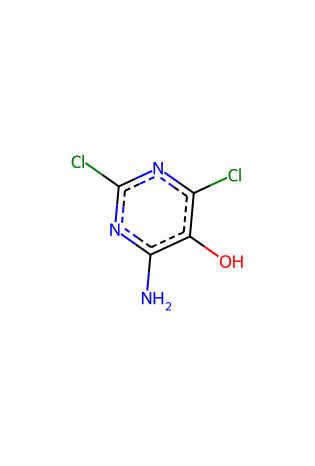 Nc1nc(Cl)nc(Cl)c1O